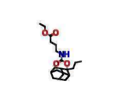 CCCC1(OC(=O)NCCCC(=O)OCC)C2CC3CC(C2)CC1C3